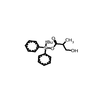 CC(CO)C(=O)O[Si](c1ccccc1)(c1ccccc1)C(C)(C)C